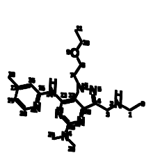 CCNCc1nn(CCOCC)c2c(Nc3cc(C)ccn3)nc(N(C)C)nc12